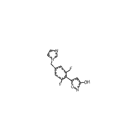 Oc1cc(-c2c(F)cc(Cn3ccnc3)cc2F)on1